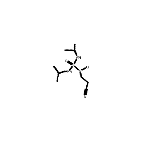 CC(C)NP(=O)(NC(C)C)N(Cl)CCC#N